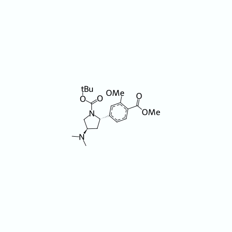 COC(=O)c1ccc([C@@H]2C[C@@H](N(C)C)CN2C(=O)OC(C)(C)C)cc1OC